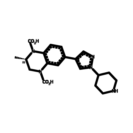 C[C@H]1CN(C(=O)O)c2cc(-c3cnn(C4CCNCC4)c3)ccc2N1C(=O)O